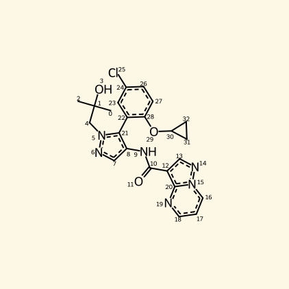 CC(C)(O)Cn1ncc(NC(=O)c2cnn3cccnc23)c1-c1cc(Cl)ccc1OC1CC1